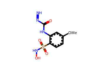 COc1ccc(S(=O)(=O)NO)c(NC(=O)N=N)c1